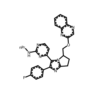 CCCNc1nccc(-c2c(-c3ccc(F)cc3)nc3n2C(COc2cnc4ccccc4n2)CC3)n1